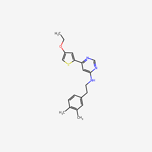 CCOc1csc(-c2cc(NCCc3ccc(C)c(C)c3)ncn2)c1